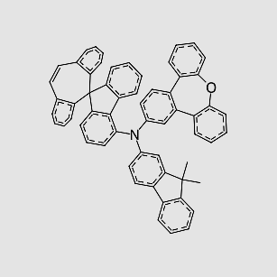 CC1(C)c2ccccc2-c2ccc(N(c3ccc4c(c3)-c3ccccc3Oc3ccccc3-4)c3cccc4c3-c3ccccc3C43c4ccccc4C=Cc4ccccc43)cc21